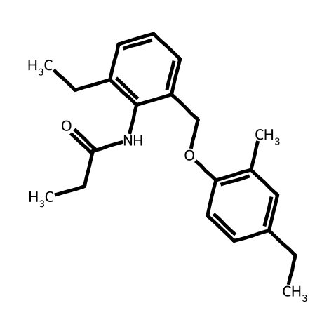 CCC(=O)Nc1c(CC)cccc1COc1ccc(CC)cc1C